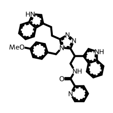 COc1ccc(Cn2c(CCc3c[nH]c4ccccc34)nnc2C(CNC(=O)c2ccccn2)c2c[nH]c3ccccc23)cc1